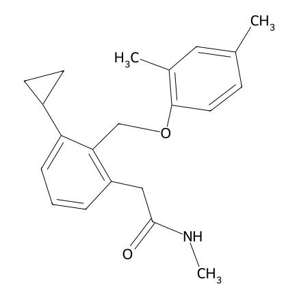 CNC(=O)Cc1cccc(C2CC2)c1COc1ccc(C)cc1C